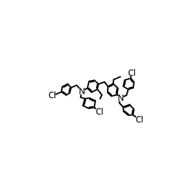 CCc1cc(N(Cc2ccc(Cl)cc2)Cc2ccc(Cl)cc2)ccc1Cc1ccc(N(Cc2ccc(Cl)cc2)Cc2ccc(Cl)cc2)cc1CC